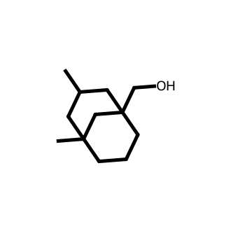 CC1CC2(C)CCCC(CO)(C1)C2